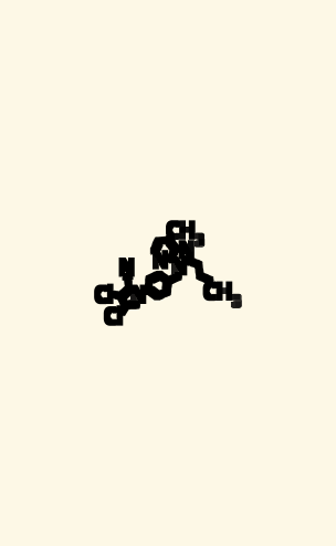 CCCCc1nc2c(C)ccnc2n1Cc1ccc(-n2cc(Cl)c(Cl)c2C#N)cc1